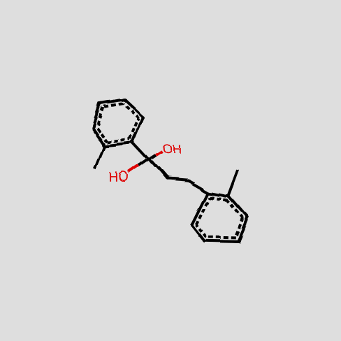 Cc1ccccc1CCC(O)(O)c1ccccc1C